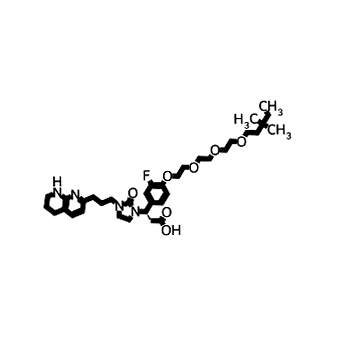 CCC(C)(C)CCOCCOCCOCCOc1ccc([C@H](CC(=O)O)N2CCN(CCCc3ccc4c(n3)NCCC4)C2=O)cc1F